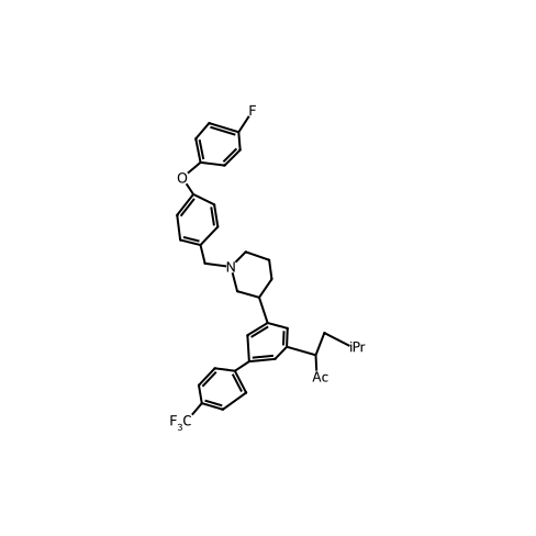 CC(=O)C(CC(C)C)c1cc(-c2ccc(C(F)(F)F)cc2)cc(C2CCCN(Cc3ccc(Oc4ccc(F)cc4)cc3)C2)c1